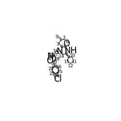 CC(C)CC1C(=O)NC(C2CCCC2)CN1Cc1cc(-c2ccc(Cl)cc2)on1